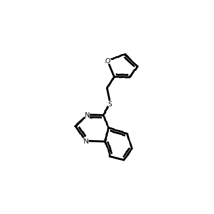 c1coc(CSc2ncnc3ccccc23)c1